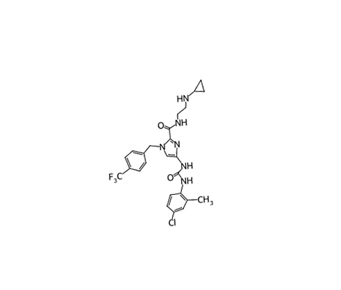 Cc1cc(Cl)ccc1NC(=O)Nc1cn(Cc2ccc(C(F)(F)F)cc2)c(C(=O)NCCNC2CC2)n1